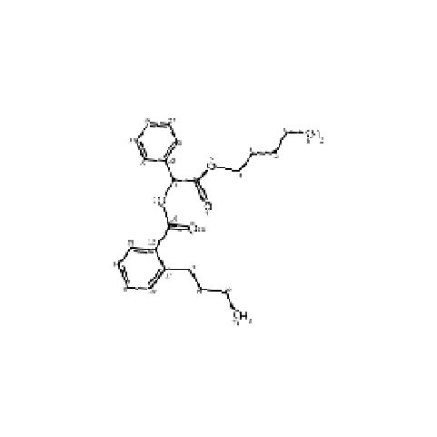 CCCCCOC(=O)C(OC(=O)c1ccccc1CCCC)c1ccccc1